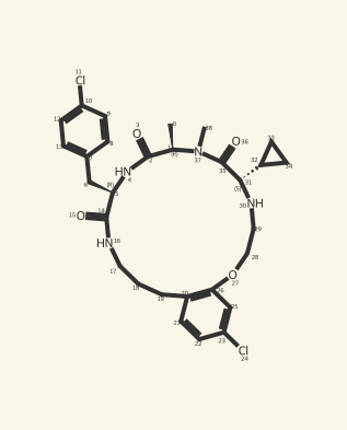 C[C@@H]1C(=O)N[C@H](Cc2ccc(Cl)cc2)C(=O)NCCCc2ccc(Cl)cc2OCCN[C@@H](C2CC2)C(=O)N1C